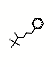 [O]C(CCCc1ccccc1)C(F)(F)F